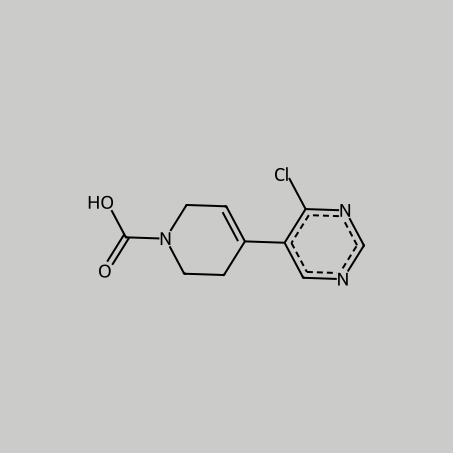 O=C(O)N1CC=C(c2cncnc2Cl)CC1